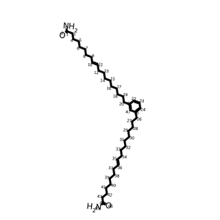 NC(=O)CCCCCCCC=CCCCCCCCCCc1cccc(CCCCCCCCCC=CCCCCCCCC(N)=O)c1